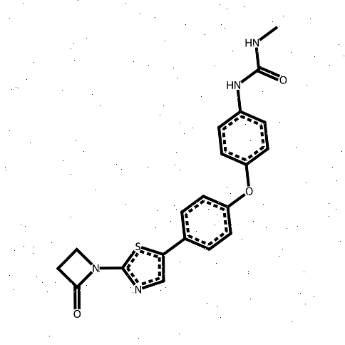 CNC(=O)Nc1ccc(Oc2ccc(-c3cnc(N4CCC4=O)s3)cc2)cc1